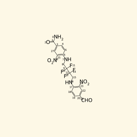 NC(=O)c1ccc(NCC(F)(F)C(F)(F)CNc2ccc(C=O)cc2[N+](=O)[O-])c([N+](=O)[O-])c1